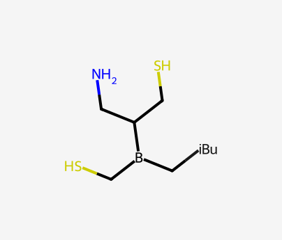 CCC(C)CB(CS)C(CN)CS